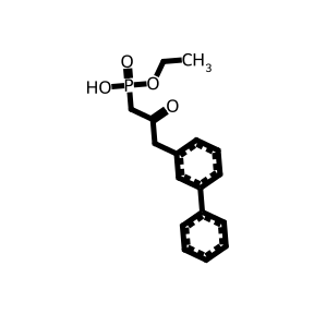 CCOP(=O)(O)CC(=O)Cc1cccc(-c2ccccc2)c1